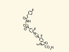 O=C(C=Cc1ccc(F)cc1)NC[C@H]1CN(c2ccc(N3CCN(c4cc5c(cc4F)c(=O)c(C(=O)O)cn5C4CC4)CC3)c(F)c2)C(=O)O1